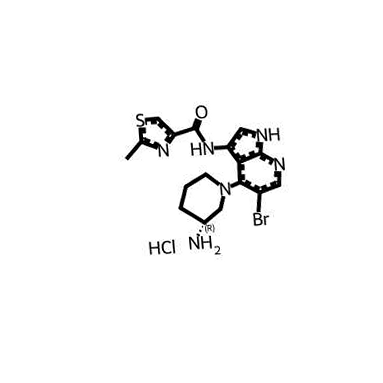 Cc1nc(C(=O)Nc2c[nH]c3ncc(Br)c(N4CCC[C@@H](N)C4)c23)cs1.Cl